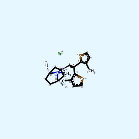 Cc1ccsc1C(=C[C@H]1C[C@H]2CC[C@@H](C1)[N+]2(C)C)c1sccc1C.[Br-]